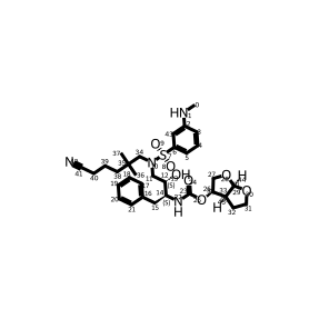 CNc1cccc(S(=O)(=O)N(C[C@H](O)[C@H](Cc2ccccc2)NC(=O)O[C@H]2CO[C@H]3OCC[C@H]32)CC(C)(C)CCCC#N)c1